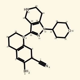 BC1=CC2=C(CC1C#N)N(c1nn(C3CCOCC3)c3c1CNCC3)CCC2